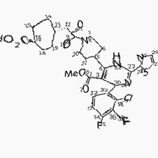 COC(=O)C1=C(C2CCN(S(=O)(=O)C[C@H]3CC[C@H](C(=O)O)CC3)CC2)NC(c2nccs2)=NC1c1ccc(F)c(F)c1Cl